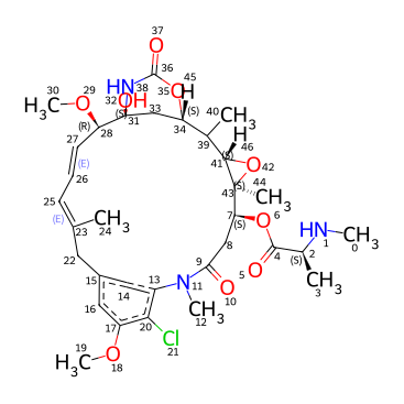 CN[C@@H](C)C(=O)O[C@H]1CC(=O)N(C)c2cc(cc(OC)c2Cl)C/C(C)=C/C=C/[C@@H](OC)[C@@]2(O)C[C@H](OC(=O)N2)C(C)[C@@H]2O[C@@]12C